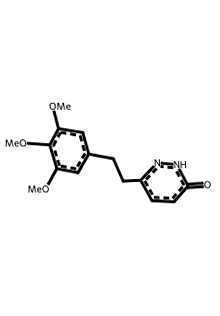 COc1cc(CCc2ccc(=O)[nH]n2)cc(OC)c1OC